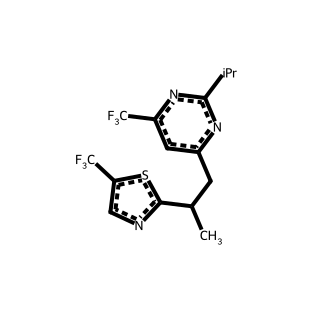 CC(C)c1nc(CC(C)c2ncc(C(F)(F)F)s2)cc(C(F)(F)F)n1